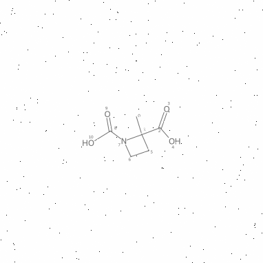 CC1(C(=O)O)CCN1C(=O)O